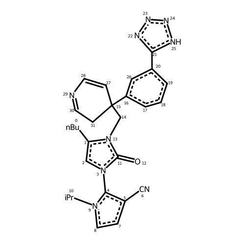 CCCCc1cn(-c2c(C#N)ccn2C(C)C)c(=O)n1CC1(c2cccc(-c3nnn[nH]3)c2)C=CN=CC1